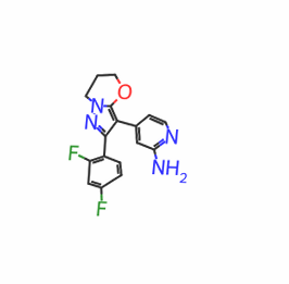 Nc1cc(-c2c(-c3ccc(F)cc3F)nn3c2OCCC3)ccn1